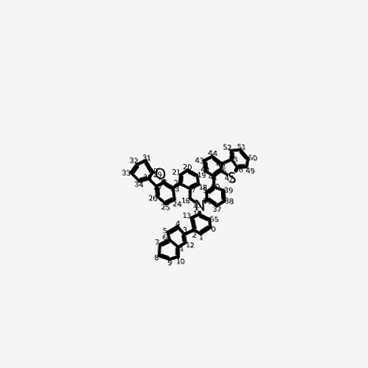 c1cc(-c2ccc3ccccc3c2)cc(N(Cc2ccccc2-c2cccc3c2oc2ccccc23)c2cccc(-c3cccc4c3sc3ccccc34)c2)c1